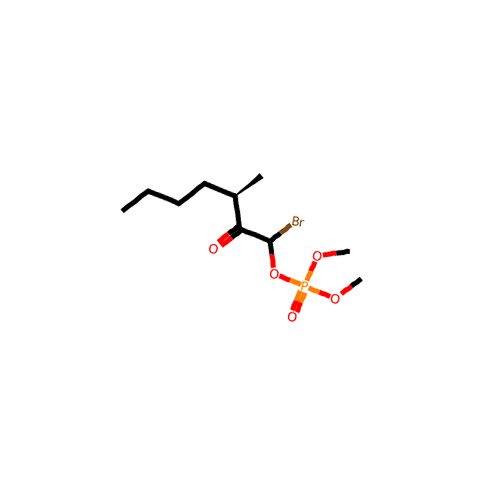 CCCC[C@@H](C)C(=O)C(Br)OP(=O)(OC)OC